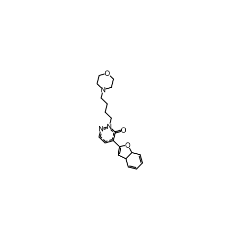 O=c1c(C2=CC3C=CC=CC3O2)ccnn1CCCCN1CCOCC1